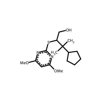 COc1cc(OC)nc(SC(CO)C(C)(C)C2CCCC2)n1